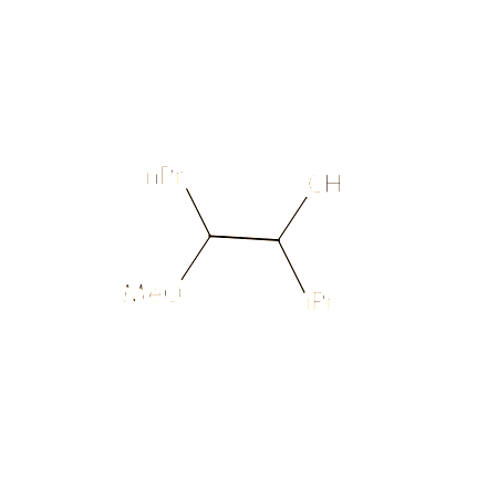 CCCC(OC)C(C)C(C)C